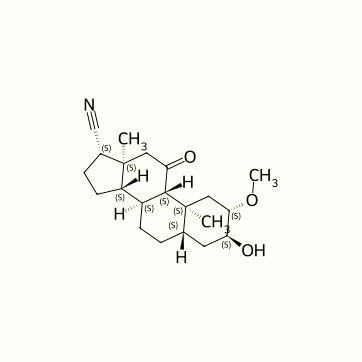 CO[C@H]1C[C@@]2(C)[C@@H](CC[C@H]3[C@@H]4CC[C@H](C#N)[C@@]4(C)CC(=O)[C@@H]32)C[C@@H]1O